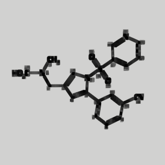 CN(Cc1cc(-c2cccc(C#N)c2)n(S(=O)(=O)c2cccnc2)c1)C(=O)O